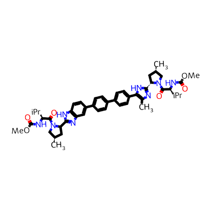 COC(=O)N[C@H](C(=O)N1C[C@@H](C)CC1c1nc2cc(-c3ccc(-c4ccc(-c5[nH]c([C@@H]6C[C@H](C)CN6C(=O)[C@@H](NC(=O)OC)C(C)C)nc5C)cc4)cc3)ccc2[nH]1)C(C)C